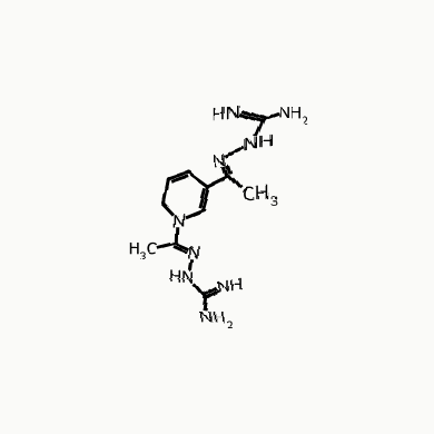 CC(=NNC(=N)N)C1=CN(C(C)=NNC(=N)N)CC=C1